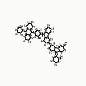 Fc1ccc2c(c1)c1cc(-c3ccc4c(c3)c3ccccc3n4-c3ccc(C4=C5C=CC=CC5C(c5ccccc5)c5ccccc54)cc3)ccc1n2-c1ccccc1F